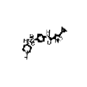 O=C(Nc1ccc(S(=O)(=O)NC2CCNCC2)cc1)c1cc(C2CC2)on1